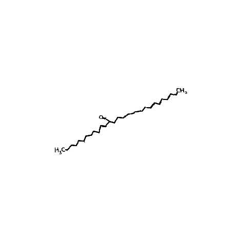 CCCCCCCCCCCCCCCCC([C]=O)CCCCCCCCCCCC